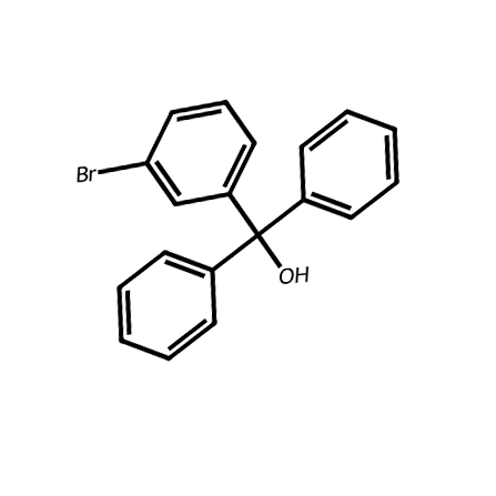 OC(c1ccccc1)(c1ccccc1)c1cccc(Br)c1